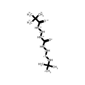 CC(C)(C)NSBNC(=O)NBNC(=O)C(C)(C)C